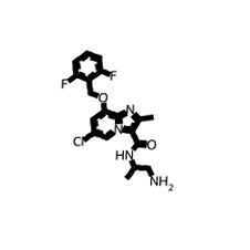 Cc1nc2c(OCc3c(F)cccc3F)cc(Cl)cn2c1C(=O)NC(C)CN